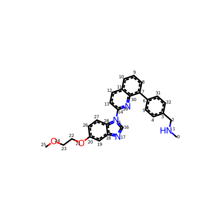 CNCc1ccc(-c2cccc3ccc(-n4cnc5cc(OCCOC)ccc54)nc23)cc1